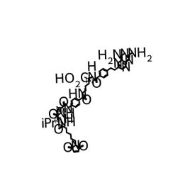 CC(C)[C@H](NC(=O)CCCCCN1C(=O)C=CC1=O)C(=O)N[C@@H](C)C(=O)Nc1ccc(C(=O)NCCC[C@H](NC(=O)c2ccc(CCc3cnc4nc(N)nc(N)c4n3)cc2)C(=O)O)cc1